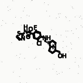 O=S(=O)(Nc1nccs1)c1cc(Cl)c(NC[C@@H]2CCN3C(CO)CCC23)cc1F